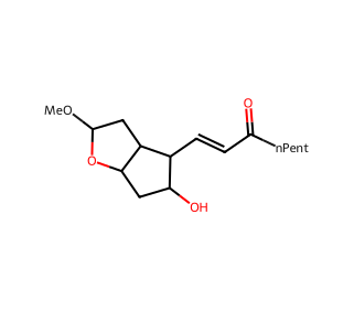 CCCCCC(=O)C=CC1C(O)CC2OC(OC)CC21